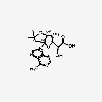 CC1(C)O[C@@]2(n3cnc4c(N)ncnc43)O[C@H](C(O)C(=O)O)[C@@H](O)[C@]2(O)O1